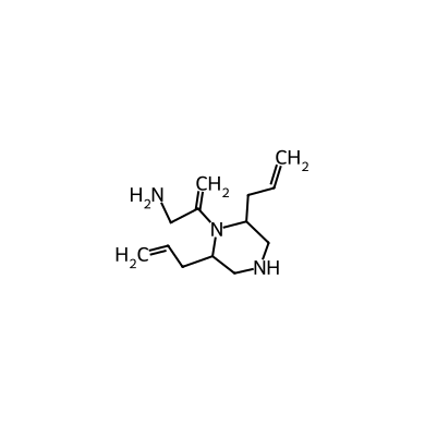 C=CCC1CNCC(CC=C)N1C(=C)CN